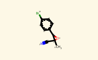 CC1(C#N)OC1c1ccc(Br)cc1